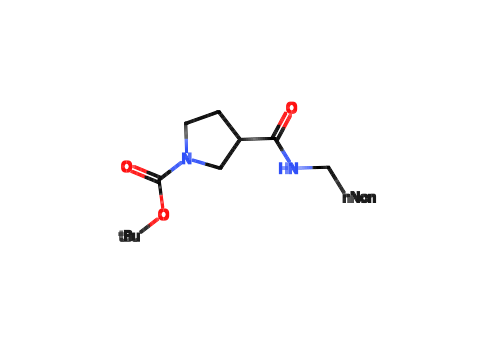 CCCCCCCCCCNC(=O)C1CCN(C(=O)OC(C)(C)C)C1